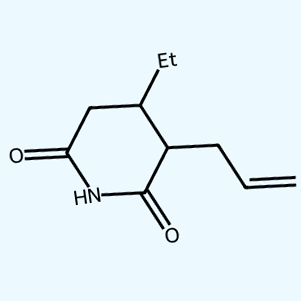 C=CCC1C(=O)NC(=O)CC1CC